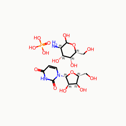 N[C@H]1C(O)O[C@H](CO)[C@H](O)[C@@H]1O.O=P(O)(O)O.O=c1ccn([C@@H]2O[C@H](CO)[C@@H](O)[C@H]2O)c(=O)[nH]1